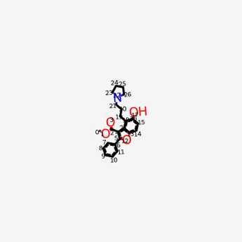 COC(=O)c1c(-c2ccccc2)oc2ccc(O)c(CCCN3CCCC3)c12